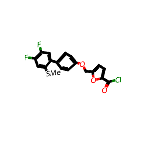 CSc1cc(F)c(F)cc1-c1ccc(OCc2ccc(C(=O)Cl)o2)cc1